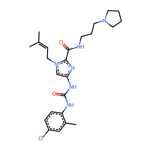 CC(C)=CCn1cc(NC(=O)Nc2ccc(Cl)cc2C)nc1C(=O)NCCCN1CCCC1